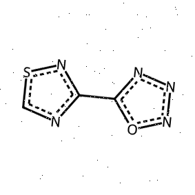 c1nc(-c2nnno2)ns1